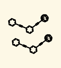 C(#Cc1cccc(C#C[C]23[CH]4[CH]5[CH]6[CH]2[Fe]56432789[CH]3[CH]2[CH]7[CH]8[CH]39)c1)c1ccccc1.C(#Cc1cccc(C#C[C]23[CH]4[CH]5[CH]6[CH]2[Fe]56432789[CH]3[CH]2[CH]7[CH]8[CH]39)c1)c1ccccc1